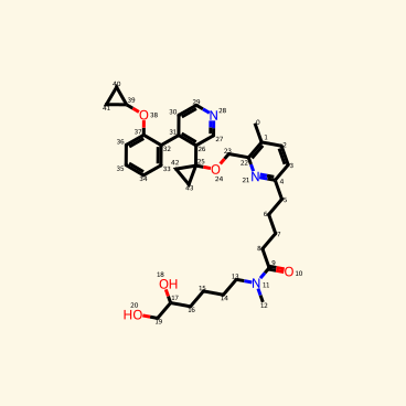 Cc1ccc(CCCCC(=O)N(C)CCCCC(O)CO)nc1COC1(c2cnccc2-c2ccccc2OC2CC2)CC1